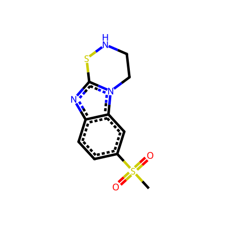 CS(=O)(=O)c1ccc2nc3n(c2c1)CCNS3